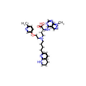 Cc1ccc(OCCN(CCCCc2ccc3c(n2)NCCC3)CC[C@H](Nc2ncnc3c2cnn3C)C(=O)O)cn1